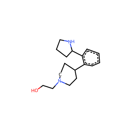 OCCN1CCC(c2ccccc2C2CCCN2)CC1